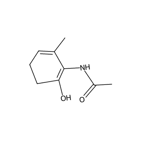 CC(=O)NC1=C(O)CCC=C1C